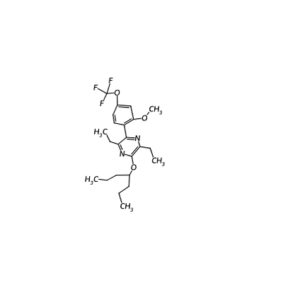 CCCC(CCC)Oc1nc(CC)c(-c2ccc(OC(F)(F)F)cc2OC)nc1CC